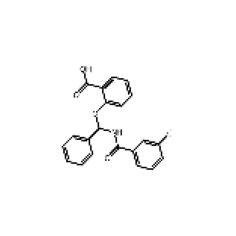 O=C(NC(Oc1ccccc1C(=O)O)c1ccccc1)c1cccc(Cl)c1